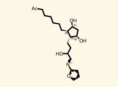 CC(=O)CCCCCC[C@@H]1[C@@H](CCC(O)/C=N/c2ccco2)[C@H](O)C[C@@H]1O